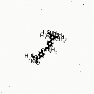 CCO[C@@H](Cc1ccc(OC/C=C(\C)c2ccc(-c3cc(C(C)(C)C)cc(C(C)(C)C)c3)cc2)cc1)C(=O)O